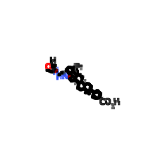 C=C[C@@]12CC[C@@]3(NCCN4C[C@@H]5CC4CO5)CC[C@@H](C(C)C)C3[C@H]1CCC1[C@@]3(C)CC=C(c4ccc(C(=O)O)cc4)C(C)(C)C3CC[C@]12C